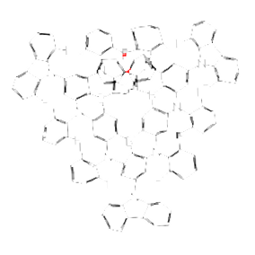 Fc1cccc(F)c1N1c2cc3c(cc2B2c4cc5c(cc4N(c4c(F)cccc4F)c4cc(-n6c7ccccc7c7ccccc76)cc1c42)N(c1c(F)cccc1F)c1cc(-n2c4c(F)cccc4c4cccc(F)c42)cc2c1B5c1sc4ccccc4c1N2c1c(F)cccc1F)B1c2sc4ccccc4c2N(c2c(F)cccc2F)c2cc(-n4c5c(F)cccc5c5cccc(F)c54)cc(c21)N3c1c(F)cccc1F